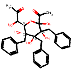 CC(=O)C(O)[C@H]1OC(O)(C(C)=O)[C@](O)(Cc2ccccc2)[C@](O)(Cc2ccccc2)[C@@]1(O)Cc1ccccc1